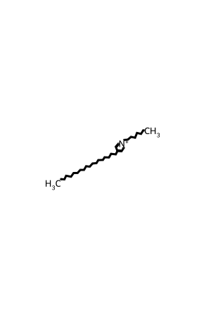 CCCCCCCCCCCCCCCCCCCc1cc[n+](CCCCCCCC)cc1